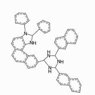 c1ccc(C2Nc3c(ccc4ccc5ccc(C6NC(c7ccc8ccccc8c7)NC(c7ccc8ccccc8c7)N6)cc5c34)N2c2ccccc2)cc1